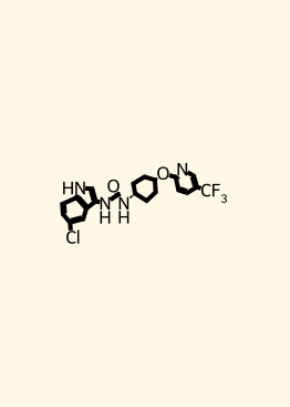 O=C(Nc1c[nH]c2ccc(Cl)cc12)N[C@H]1CC[C@H](Oc2ccc(C(F)(F)F)cn2)CC1